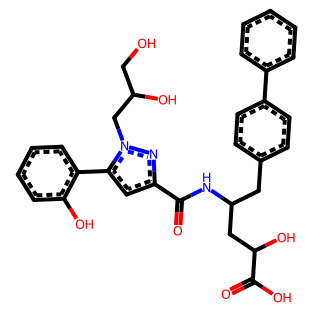 O=C(NC(Cc1ccc(-c2ccccc2)cc1)CC(O)C(=O)O)c1cc(-c2ccccc2O)n(CC(O)CO)n1